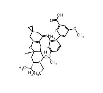 CCN1C(=O)[C@H]2[C@H](C[C@H]1C(C)C)OC1=C(C(=O)CC3(CC3)C1)[C@@H]2c1c(OC)ccc(-c2cc(OC)cc(C(=O)O)n2)c1C